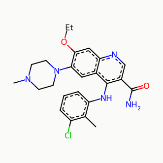 CCOc1cc2ncc(C(N)=O)c(Nc3cccc(Cl)c3C)c2cc1N1CCN(C)CC1